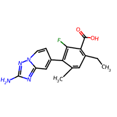 CCc1cc(C)c(-c2ccn3nc(N)nc3c2)c(F)c1C(=O)O